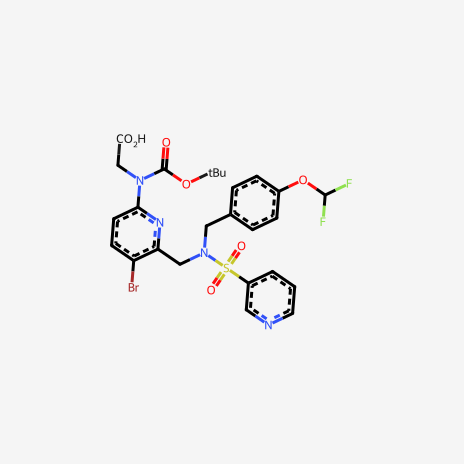 CC(C)(C)OC(=O)N(CC(=O)O)c1ccc(Br)c(CN(Cc2ccc(OC(F)F)cc2)S(=O)(=O)c2cccnc2)n1